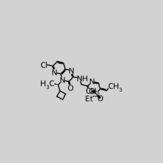 C=C(CNc1nc2ccc(Cl)nc2n([C@H](C)C2CCC2)c1=O)/N=C\C(=C/C)S(=O)(=O)CC